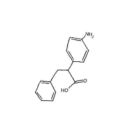 Nc1ccc(C(Cc2ccccc2)C(=O)O)cc1